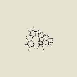 Cc1c(C)c(C)c2c(c1C)-c1c(C)c(C)c(C)c(C)c1C1(C=Cc3cc4ccoc4cc31)c1c(C)c(C)c(C)c(C)c1-2